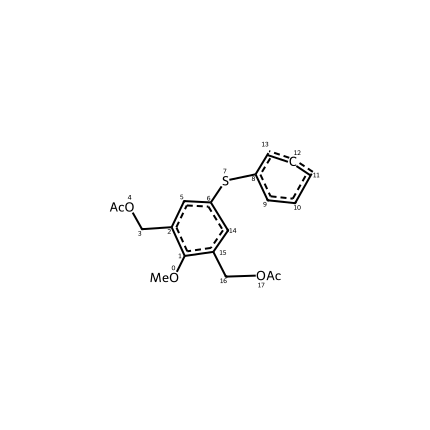 COc1c(COC(C)=O)cc(Sc2ccccc2)cc1COC(C)=O